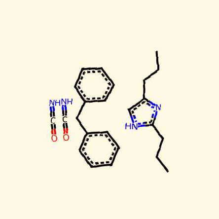 CCCc1c[nH]c(CCC)n1.N=C=O.N=C=O.c1ccc(Cc2ccccc2)cc1